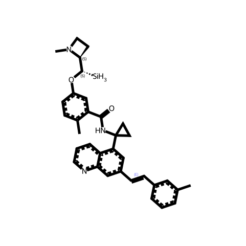 Cc1cccc(/C=C/c2cc(C3(NC(=O)c4cc(O[C@@H]([SiH3])[C@@H]5CCN5C)ccc4C)CC3)c3cccnc3c2)c1